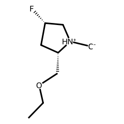 [CH2-][NH+]1C[C@@H](F)C[C@H]1COCC